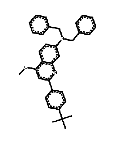 COc1cc(-c2ccc(C(C)(C)C)cc2)nc2cc(N(Cc3ccccc3)Cc3ccccc3)ccc12